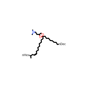 CCCCCCCCCCCCCCCCCCC1(CCCCCCCC/C=C\CC(C)CCCCCC)OCC(CCN(C)C)O1